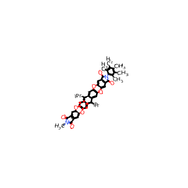 Cc1c(C)c(C)c(-n2c(=O)c3cc4oc5cc6c(cc5oc4cc3c2=O)C2(C(C)C)c3ccccc3C6(C(C)C)c3cc4oc5cc6c(=O)n(C)c(=O)c6cc5oc4cc32)c(C)c1C